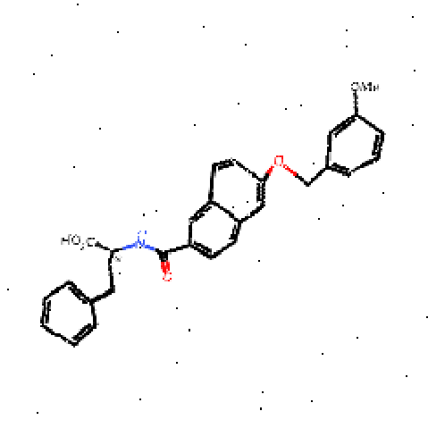 COc1cccc(COc2ccc3cc(C(=O)N[C@@H](Cc4ccccc4)C(=O)O)ccc3c2)c1